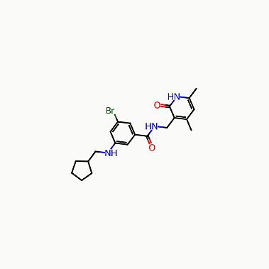 Cc1cc(C)c(CNC(=O)c2cc(Br)cc(NCC3CCCC3)c2)c(=O)[nH]1